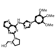 COc1cc(-n2cnc(Nc3nc(N4CCC[C@H]4CO)nc4ccsc34)c2)cc(OC)c1OC